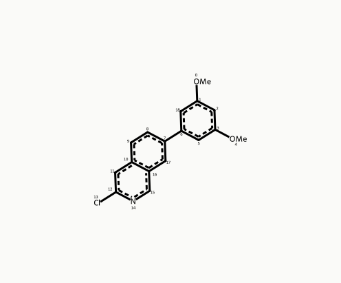 COc1cc(OC)cc(-c2ccc3cc(Cl)ncc3c2)c1